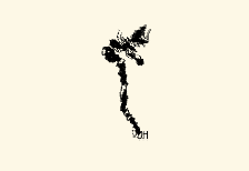 CC(C)(C)OC(=O)N1CCC(Nc2cccc(N[C@@H]3CCOc4ccc(OCCCCCCOCCOCCOCCCCCC(=O)O)cc43)c2)(c2nnc(-c3ccncc3)[nH]2)CC1